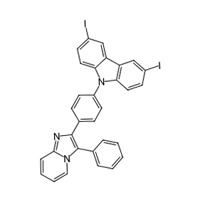 Ic1ccc2c(c1)c1cc(I)ccc1n2-c1ccc(-c2nc3ccccn3c2-c2ccccc2)cc1